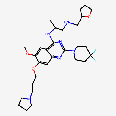 COc1cc2c(NC(C)CNCC3CCCO3)nc(N3CCC(F)(F)CC3)nc2cc1OCCCN1CCCC1